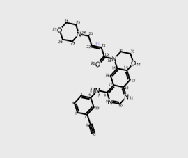 C#Cc1cccc(Nc2ncnc3cc4c(cc23)N(C(=O)/C=C/CN2CCOCC2)CCO4)c1